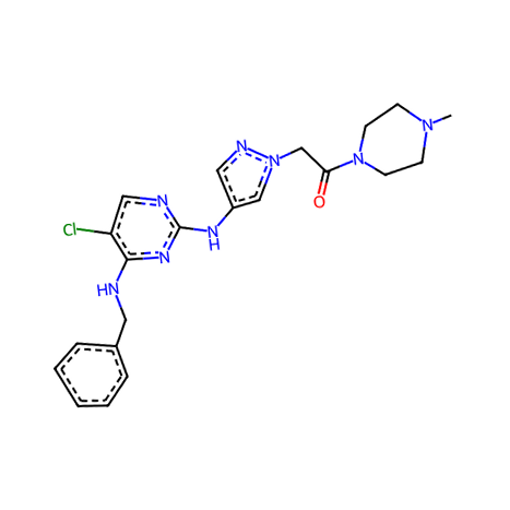 CN1CCN(C(=O)Cn2cc(Nc3ncc(Cl)c(NCc4ccccc4)n3)cn2)CC1